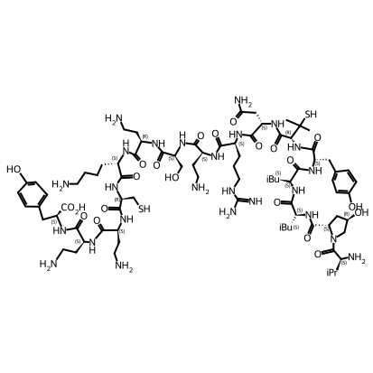 CC[C@H](C)[C@H](NC(=O)[C@@H](NC(=O)[C@@H]1C[C@@H](O)CN1C(=O)[C@@H](N)C(C)C)[C@@H](C)CC)C(=O)N[C@@H](Cc1ccc(O)cc1)C(=O)N[C@H](C(=O)N[C@@H](CC(N)=O)C(=O)N[C@@H](CCCNC(=N)N)C(=O)N[C@@H](CCN)C(=O)N[C@@H](CO)C(=O)N[C@H](CCN)C(=O)N[C@@H](CCCCN)C(=O)N[C@@H](CS)C(=O)N[C@@H](CCN)C(=O)N[C@@H](CCN)C(=O)N[C@@H](Cc1ccc(O)cc1)C(=O)O)C(C)(C)S